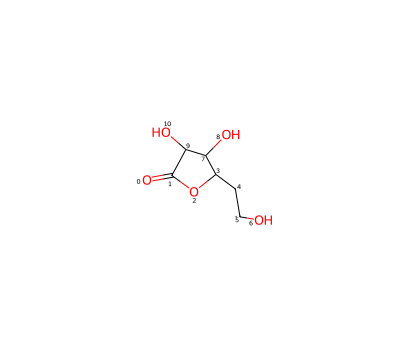 O=C1OC(C[CH]O)C(O)C1O